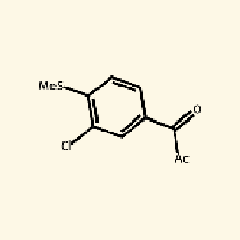 CSc1ccc(C(=O)C(C)=O)cc1Cl